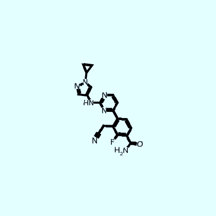 N#CCc1c(-c2ccnc(Nc3cnn(C4CC4)c3)n2)ccc(C(N)=O)c1F